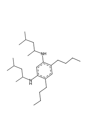 CCCCc1cc(CCCC)c(NC(C)CC(C)C)cc1NC(C)CC(C)C